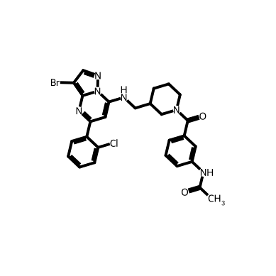 CC(=O)Nc1cccc(C(=O)N2CCCC(CNc3cc(-c4ccccc4Cl)nc4c(Br)cnn34)C2)c1